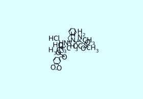 CC[C@](Cc1ccccc1)(NC[C@@](C)(O)CS(=O)(=O)c1ccc2c(c1)OCO2)NC(=O)[C@H](N)C(C)(C)S(C)(=O)=O.Cl